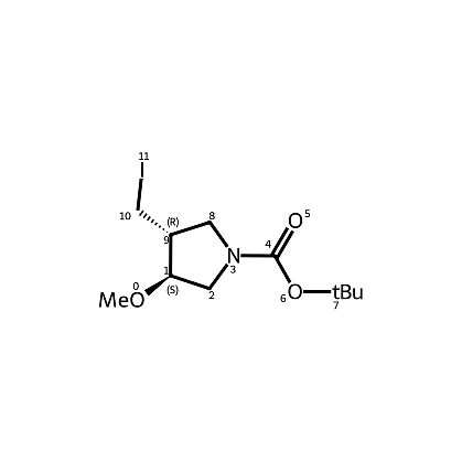 CO[C@@H]1CN(C(=O)OC(C)(C)C)C[C@H]1CI